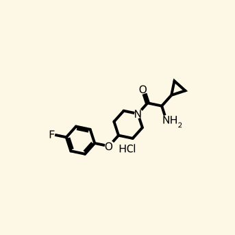 Cl.NC(C(=O)N1CCC(Oc2ccc(F)cc2)CC1)C1CC1